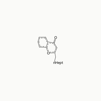 CCCCCCCCc1cc(=O)c2ccccc2o1